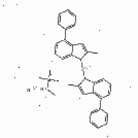 CC1=Cc2c(-c3ccccc3)cccc2[CH]1[Zr+2][CH]1C(C)=Cc2c(-c3ccccc3)cccc21.C[SiH2][Si](C)(C)C.[Cl-].[Cl-]